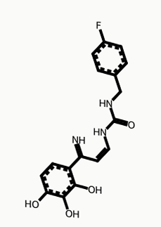 N=C(/C=C\NC(=O)NCc1ccc(F)cc1)c1ccc(O)c(O)c1O